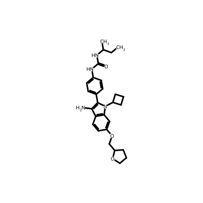 CCC(C)NC(=O)Nc1ccc(-c2c(N)c3ccc(OCC4CCCO4)cc3n2C2CCC2)cc1